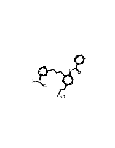 CC(C)N(c1cccc(CCCc2cc(COC=O)ccc2OC(=O)c2ccccc2)c1)C(C)C